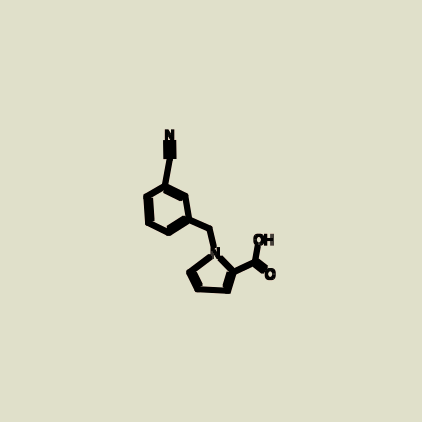 N#Cc1cccc(Cn2cccc2C(=O)O)c1